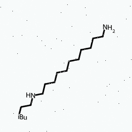 CCC(C)CCNCCCCCCCCCCCN